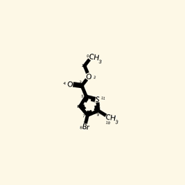 CCOC(=O)c1cc(Br)c(C)s1